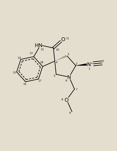 C#[N+][C@@H]1C[C@@]2(CN1COC)C(=O)Nc1ccccc12